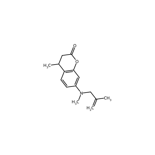 C=C(C)CN(C)c1ccc2c(c1)OC(=O)CC2C